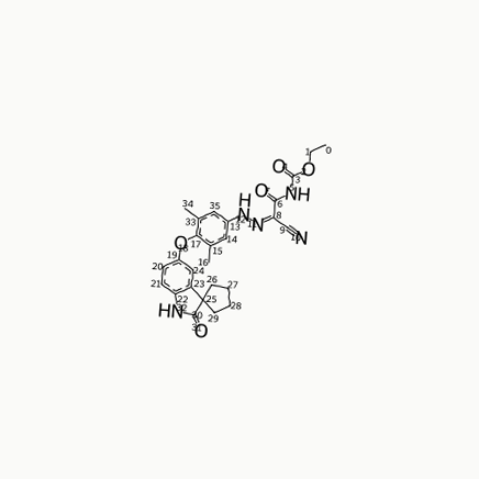 CCOC(=O)NC(=O)C(C#N)=NNc1cc(C)c(Oc2ccc3c(c2)C2(CCCC2)C(=O)N3)c(C)c1